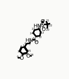 COc1ccc(CCNC(=O)[C@H]2CC[C@H](NS(=O)(=O)C(C)(C)C)CC2)cc1OC